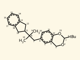 CC(C)(C)C1OCc2cc(CC(C)(C)C3Cc4ccccc4C3)ccc2O1